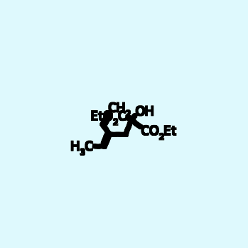 C=C/C(=C\C)CC(O)(C(=O)OCC)C(=O)OCC